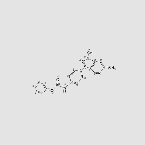 Cc1ccc2c(-c3ccc(NC(=O)Oc4ccccc4)cc3)nn(C)c2c1